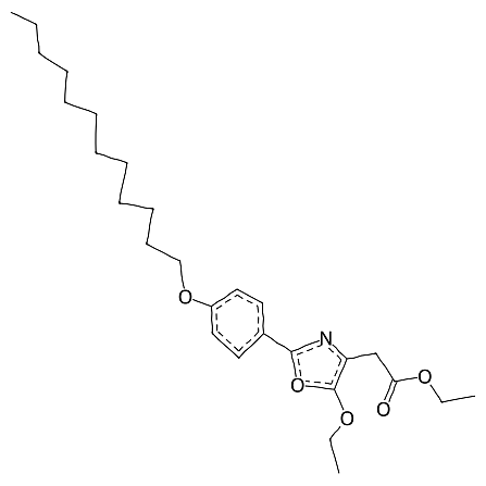 CCCCCCCCCCCCOc1ccc(-c2nc(CC(=O)OCC)c(OCC)o2)cc1